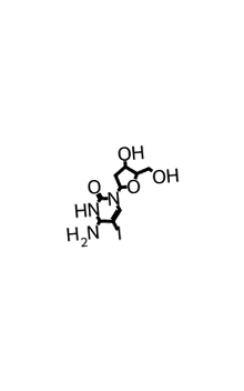 NC1NC(=O)N(C2CC(O)C(CO)O2)C=C1I